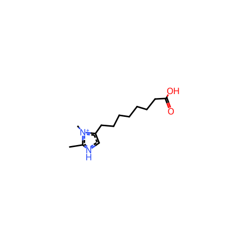 Cc1[nH]cc(CCCCCCCC(=O)O)[n+]1C